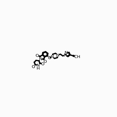 C#Cc1cnn(CCN2CCN(Oc3cccc4c3C(=O)N(C3CCC(=O)NC3=O)C4=O)CC2)c1